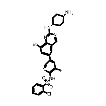 CCc1cc(-c2cnc(NS(=O)(=O)c3ccccc3Cl)c(F)c2)cc2cnc(N[C@H]3CC[C@H](N)CC3)nc12